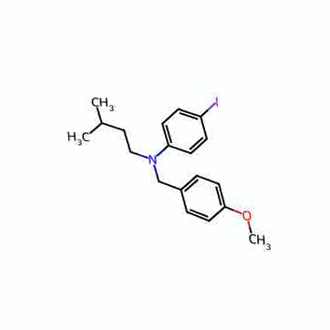 COc1ccc(CN(CCC(C)C)c2ccc(I)cc2)cc1